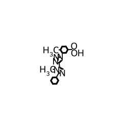 Cc1ccc(C(=O)O)cc1-n1cc(-c2cnc(-c3ccccc3)n2C)nn1